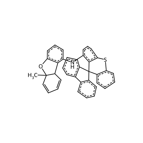 CC12C=CC=CC1c1c(Nc3cccc4c3C3(c5ccccc5S4)c4ccccc4-c4ccccc43)cccc1O2